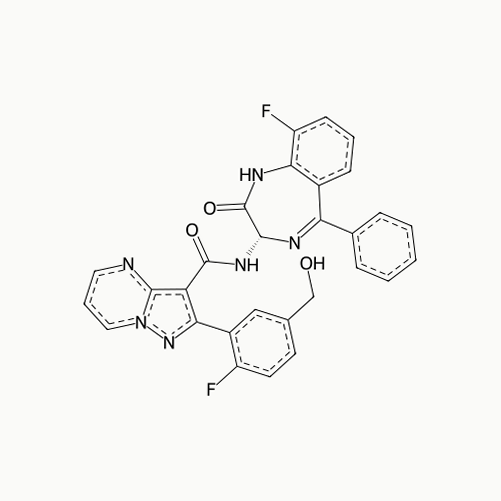 O=C(N[C@H]1N=C(c2ccccc2)c2cccc(F)c2NC1=O)c1c(-c2cc(CO)ccc2F)nn2cccnc12